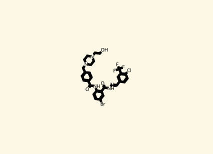 O=C(Nc1ccc(Br)cc1C(=O)NN=Cc1ccc(Cl)c(C(F)(F)F)c1)c1ccc(CN2CCN(CCO)CC2)cc1